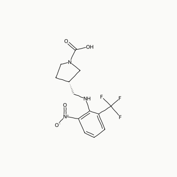 O=C(O)N1CC[C@@H](CNc2c([N+](=O)[O-])cccc2C(F)(F)F)C1